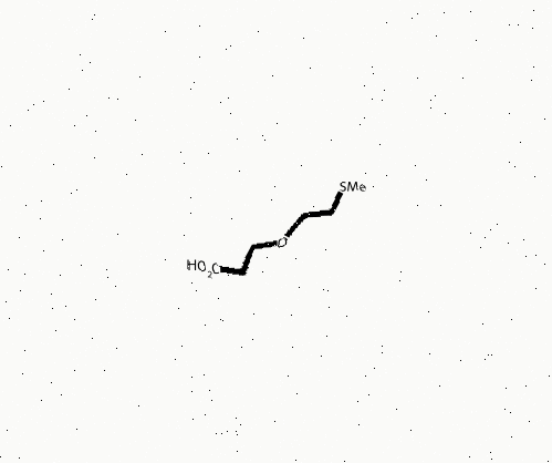 CSCCOCCC(=O)O